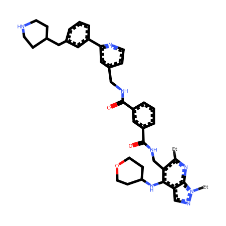 CCc1nc2c(cnn2CC)c(NC2CCOCC2)c1CNC(=O)c1cccc(C(=O)NCc2ccnc(-c3cccc(CC4CCNCC4)c3)c2)c1